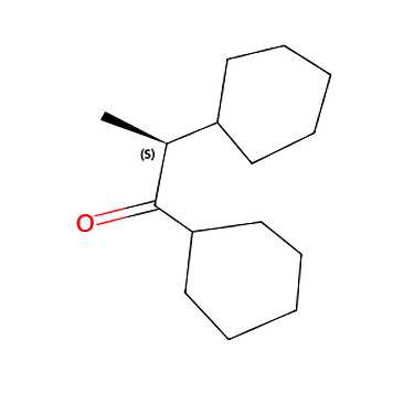 C[C@H](C(=O)C1CCCCC1)C1CCCCC1